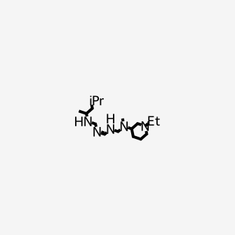 CCN1CCCC(N(C)CN/C=N\CNC(C)CC(C)C)C1